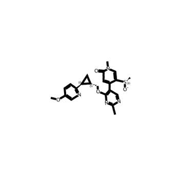 COc1ccc([C@H]2C[C@@H]2COc2nc(C)ncc2-c2cc(=O)n(C)cc2[S@@+](C)[O-])nc1